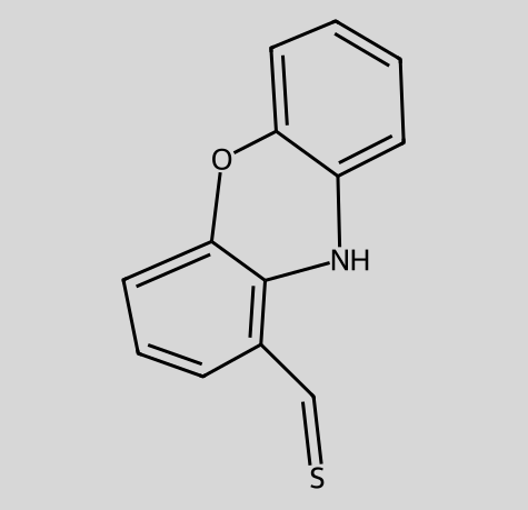 S=Cc1cccc2c1Nc1ccccc1O2